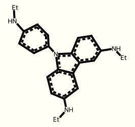 CCNc1ccc(-n2c3ccc(NCC)cc3c3cc(NCC)ccc32)cc1